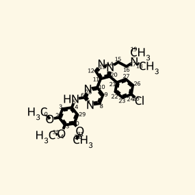 COc1cc(Nc2nccc(-c3cnn(CCN(C)C)c3-c3ccc(Cl)cc3)n2)cc(OC)c1OC